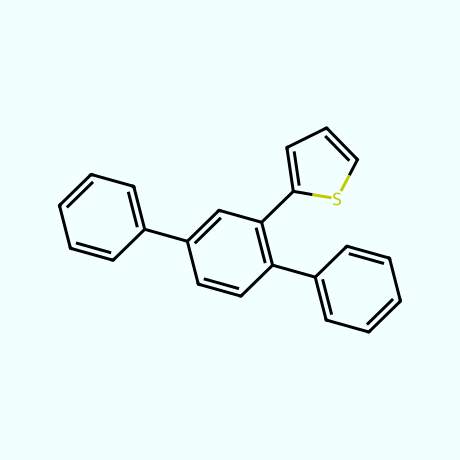 c1ccc(-c2ccc(-c3ccccc3)c(-c3cccs3)c2)cc1